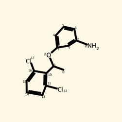 CC(Oc1cccc(N)c1)c1c(Cl)cccc1Cl